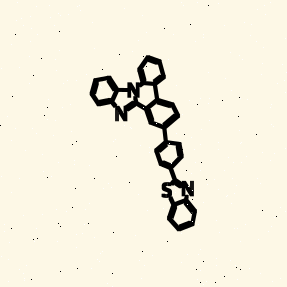 c1ccc2sc(-c3ccc(-c4ccc5c6ccccc6n6c7ccccc7nc6c5c4)cc3)nc2c1